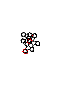 c1ccc(-c2ccccc2-c2c(-c3ccccc3)cccc2N(c2ccc3c(c2)-c2ccccc2C3(c2ccccc2)c2ccccc2)c2ccccc2-n2c3ccccc3c3ccccc32)cc1